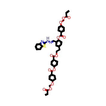 C=CC(=O)OCOc1ccc(C(=O)Oc2ccc(C(=O)OCCc3ccc(OC(=O)c4ccc(OCOC(=O)C=C)cc4)c(/C=N/Nc4nc5ccccc5s4)c3)cc2)cc1